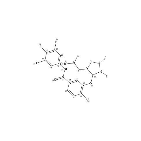 CC(C=O)CC1C[C@H](C)C(C)C1Sc1cc(C(=O)Nc2cc(F)c(F)c(F)c2)ccc1Cl